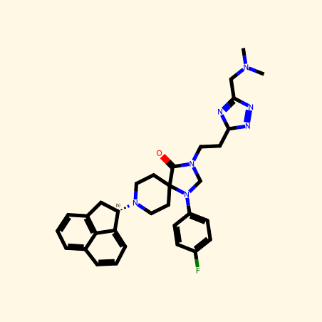 CN(C)CC1=NC(CCN2CN(c3ccc(F)cc3)C3(CCN([C@H]4Cc5cccc6cccc4c56)CC3)C2=O)N=N1